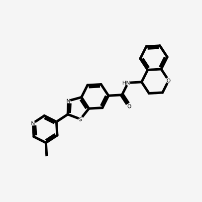 Cc1cncc(-c2nc3ccc(C(=O)NC4CCOc5ccccc54)cc3s2)c1